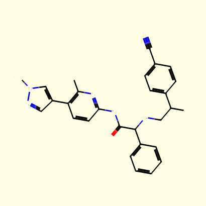 Cc1nc(NC(=O)C(NCC(C)c2ccc(C#N)cc2)c2ccccc2)ccc1-c1cnn(C)c1